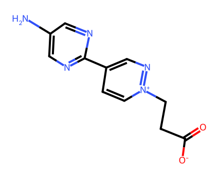 Nc1cnc(-c2cc[n+](CCC(=O)[O-])nc2)nc1